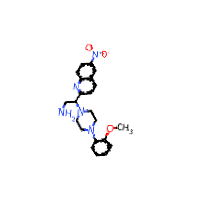 COc1ccccc1N1CCN(C(CN)c2ccc3cc([N+](=O)[O-])ccc3n2)CC1